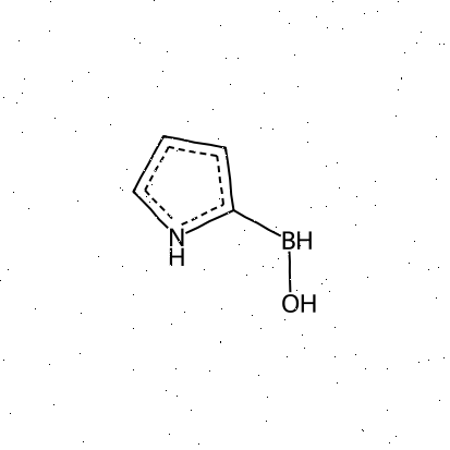 OBc1ccc[nH]1